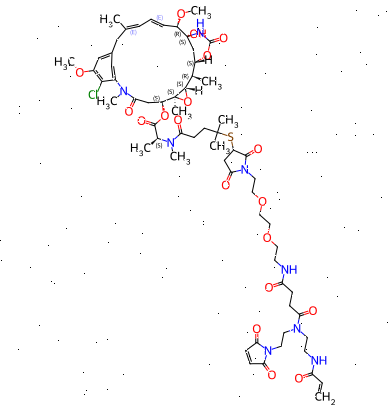 C=CC(=O)NCCN(CCN1C(=O)C=CC1=O)C(=O)CCC(=O)NCCOCCOCCN1C(=O)CC(SC(C)(C)CCC(=O)N(C)[C@@H](C)C(=O)O[C@H]2CC(=O)N(C)c3cc(cc(OC)c3Cl)C/C(C)=C/C=C/[C@@H](OC)[C@@]3(O)C[C@H](OC(=O)N3)[C@@H](C)[C@@H]3O[C@@]23C)C1=O